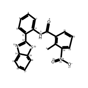 Cc1c(C(=O)Nc2ccccc2-c2nc3ccccc3s2)cccc1[N+](=O)[O-]